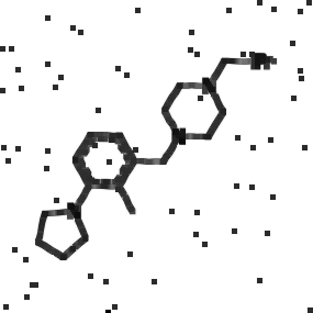 C[C](C)CN1CCN(Cc2cccc(N3CCCC3)c2C)CC1